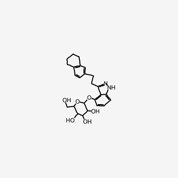 OCC1OC(Oc2cccc3[nH]nc(CCc4ccc5c(c4)CCCC5)c23)C(O)C(O)C1O